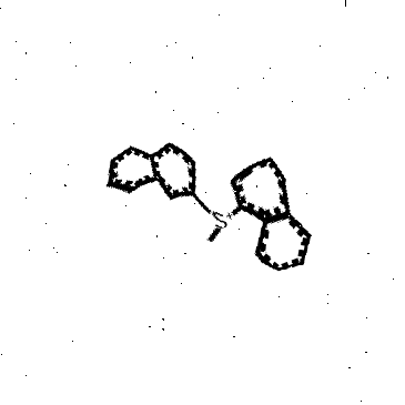 C[S+](c1ccc2ccccc2c1)c1cccc2ccccc12